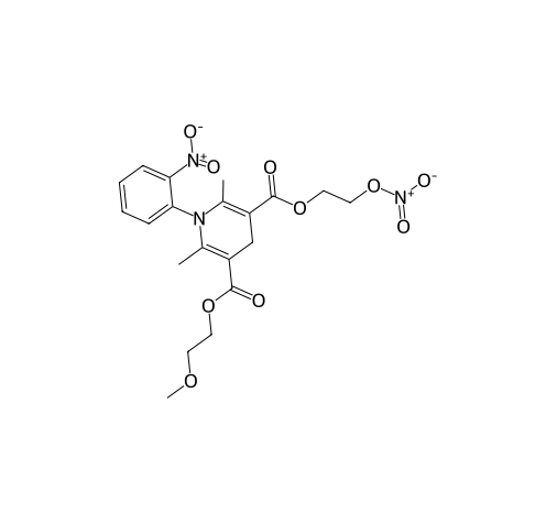 COCCOC(=O)C1=C(C)N(c2ccccc2[N+](=O)[O-])C(C)=C(C(=O)OCCO[N+](=O)[O-])C1